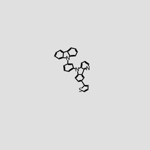 c1cc(-n2c3ccccc3c3ccccc32)cc(-n2c3ccc(-c4cccs4)cc3c3ncccc32)c1